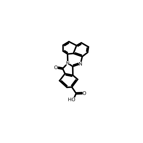 O=C(O)c1ccc2c(c1)C1=Nc3cccc4cccc(c34)N1C2=O